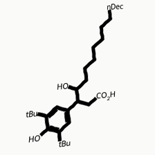 CCCCCCCCCCCCCCCCCC(O)C(CC(=O)O)c1cc(C(C)(C)C)c(O)c(C(C)(C)C)c1